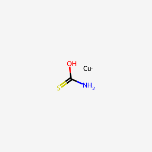 NC(O)=S.[Cu]